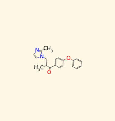 Cc1nccn1CC(C)C(=O)c1ccc(Oc2ccccc2)cc1